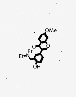 CCN(CC)Cc1cc(-c2coc3cc(OC)ccc3c2=O)ccc1O